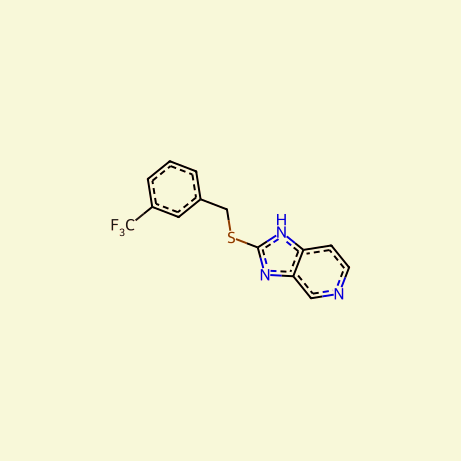 FC(F)(F)c1cccc(CSc2nc3cnccc3[nH]2)c1